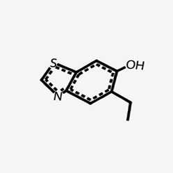 CCc1cc2ncsc2cc1O